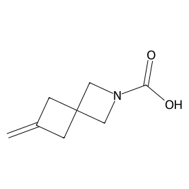 C=C1CC2(C1)CN(C(=O)O)C2